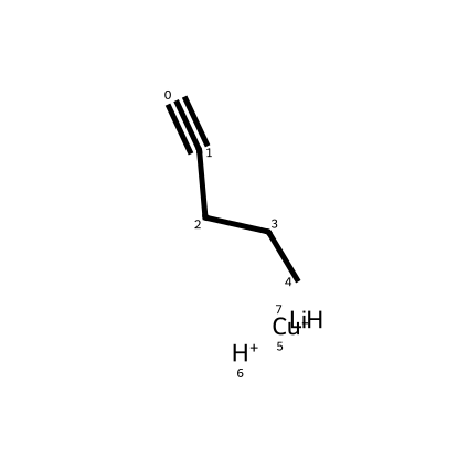 C#CCCC.[Cu-].[H+].[LiH]